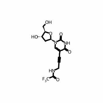 O=C(NCC#Cc1cn([C@H]2C[C@H](O)[C@@H](CO)O2)c(=O)[nH]c1=O)C(F)(F)F